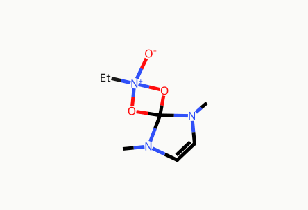 CC[N+]1([O-])OC2(O1)N(C)C=CN2C